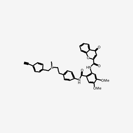 C#Cc1ccc(CN(C)CCc2ccc(NC(=O)c3cc(OC)c(OC)cc3NC(=O)c3cc(=O)c4ccccc4o3)cc2)cc1